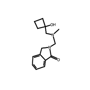 CN(CN1Cc2ccccc2C1=O)CC1(O)CCC1